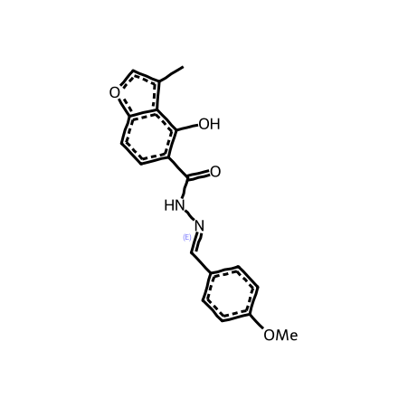 COc1ccc(/C=N/NC(=O)c2ccc3occ(C)c3c2O)cc1